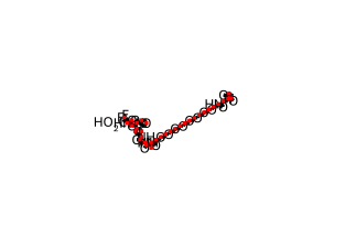 C[C@H](NC(=O)CCOCCOCCOCCOCCOCCOCCOCCOCCNC(=O)CCN1C(=O)C=CC1=O)C(=O)N[C@@H](C)C(=O)Nc1ccc(C(OC(=O)NC(C)(C(=O)O)C(F)F)C(=O)N2CCOCC2)cc1